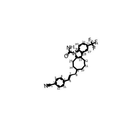 N#Cc1ccc(/C=C/CC2CCCc3c(n(C(N)=O)c4ccc(C(F)(F)F)cc34)CC2)cc1